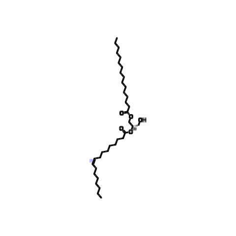 CCCCCCC/C=C\CCCCCCCC(=O)O[C@@H](CO)COC(=O)CCCCCCCCCCCCCCC